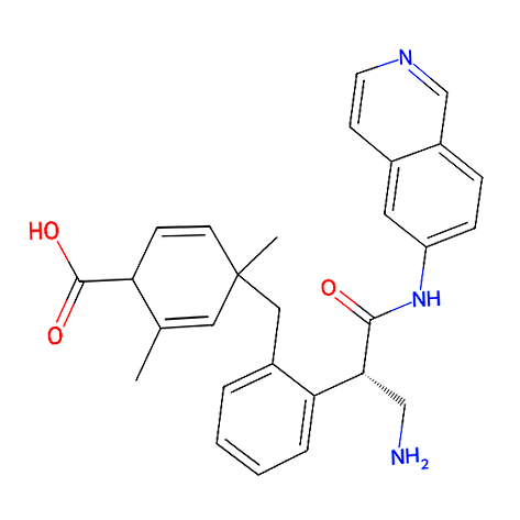 CC1=CC(C)(Cc2ccccc2[C@@H](CN)C(=O)Nc2ccc3cnccc3c2)C=CC1C(=O)O